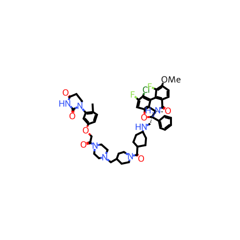 COc1ccc(C(N)=O)c(-c2c(Cl)c(F)cc3c2[C@H](C)[C@@](CNC2CCC(C(=O)N4CCC(CN5CCN(C(=O)COc6ccc(C)c(N7CCC(=O)NC7=O)c6)CC5)CC4)CC2)(c2ccccc2)O3)c1F